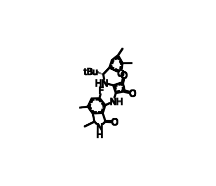 Cc1cc([C@H](Nc2c(Nc3c(F)cc(C)c4c3C(=O)NC4C)c(=O)c2=O)C(C)(C)C)oc1C